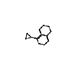 C1CCC2CCCC(C3CC3)=C2C1